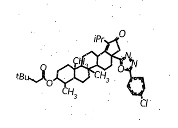 CC(C)C1=C2C3CCC4C(C)(CCC5C(C)C(OC(=O)CC(C)(C)C)CCC54C)C3CCC2(c2nnc(-c3ccc(Cl)cc3)o2)CC1=O